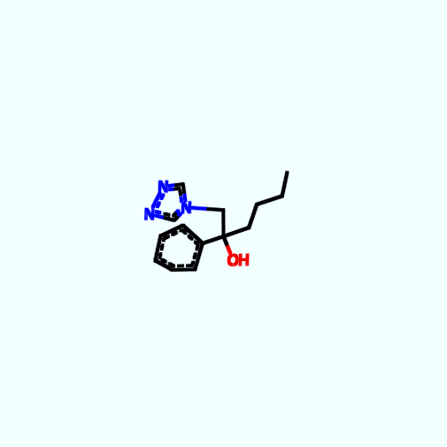 CCCCC(O)(Cn1cnnc1)c1ccccc1